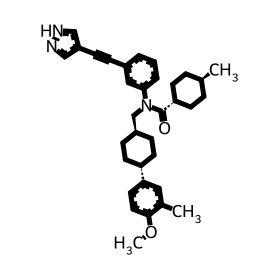 COc1ccc([C@H]2CC[C@H](CN(c3cccc(C#Cc4cn[nH]c4)c3)C(=O)[C@H]3CC[C@H](C)CC3)CC2)cc1C